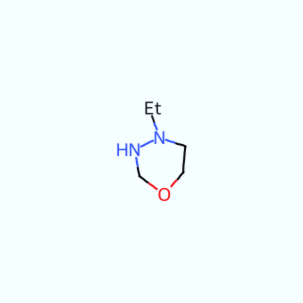 CCN1CCOCN1